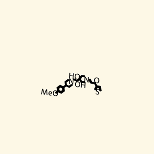 COc1ccc(C2CCN(CC(O)C3(O)CCN(C=CC(=O)c4ccsc4)CC3)CC2)cc1